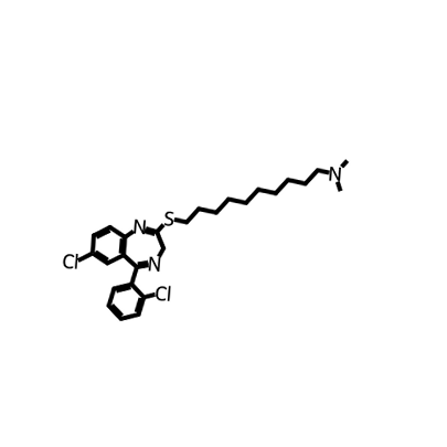 CN(C)CCCCCCCCCCSC1=Nc2ccc(Cl)cc2C(c2ccccc2Cl)=NC1